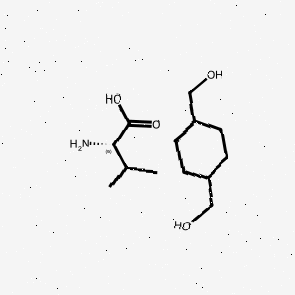 CC(C)[C@H](N)C(=O)O.OCC1CCC(CO)CC1